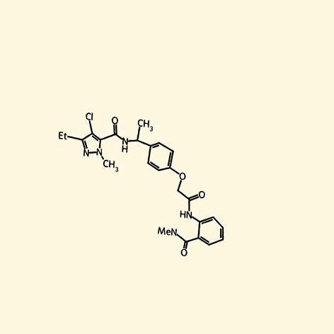 CCc1nn(C)c(C(=O)NC(C)c2ccc(OCC(=O)Nc3ccccc3C(=O)NC)cc2)c1Cl